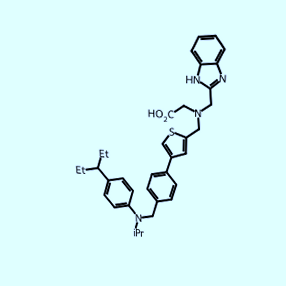 CCC(CC)c1ccc(N(Cc2ccc(-c3csc(CN(CC(=O)O)Cc4nc5ccccc5[nH]4)c3)cc2)C(C)C)cc1